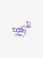 CC1(C)CCC[C@H](NC(=O)[C@@H]2C[C@@H](F)CN2C(=O)CNc2cnccc2C(=N)C(N)=O)C1